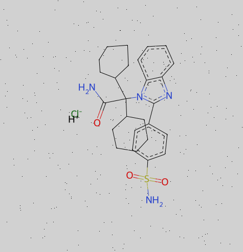 NC(=O)C(C1CCCCC1)(C1CCCCC1)n1c(-c2ccc(S(N)(=O)=O)cc2)nc2ccccc21.[Cl-].[H+]